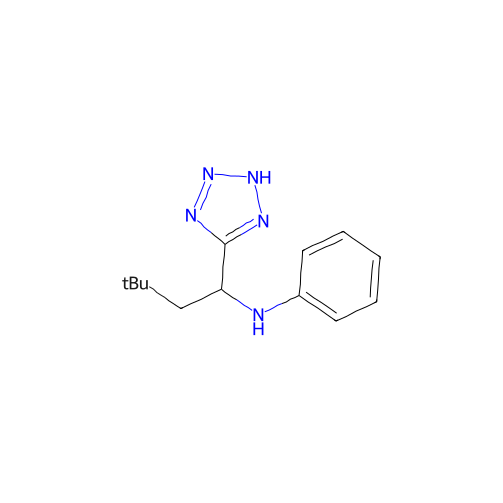 CC(C)(C)CC(Nc1ccccc1)c1nn[nH]n1